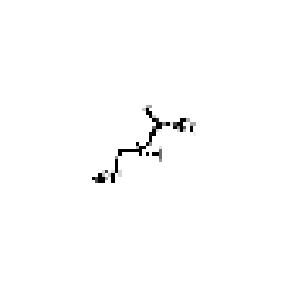 CC[CH]CNC(C)CC